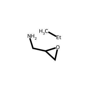 CCC.NCC1CO1